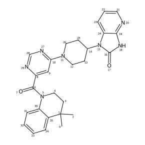 CC1(C)CCN(C(=O)c2cc(N3CCC(n4c(=O)[nH]c5ncccc54)CC3)ncn2)c2ccccc21